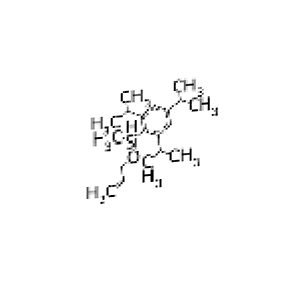 C=CCO[SiH](C)c1c(C(C)C)cc(C(C)C)cc1C(C)C